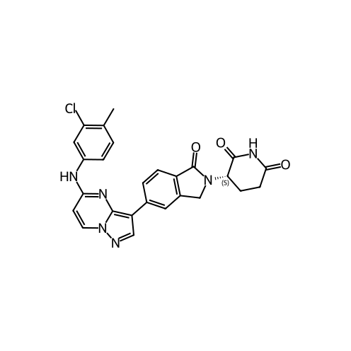 Cc1ccc(Nc2ccn3ncc(-c4ccc5c(c4)CN([C@H]4CCC(=O)NC4=O)C5=O)c3n2)cc1Cl